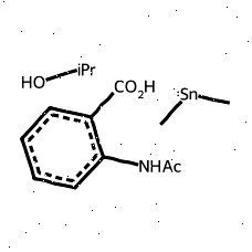 CC(=O)Nc1ccccc1C(=O)O.CC(C)O.[CH3][Sn][CH3]